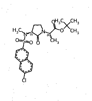 C[C@H](C(=O)OC(C)(C)C)N1CC[C@H](N(C)S(=O)(=O)c2ccc3cc(Cl)ccc3c2)C1=O